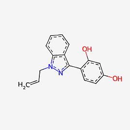 C=CCn1nc(-c2ccc(O)cc2O)c2ccccc21